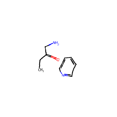 CCC(=O)CN.c1ccncc1